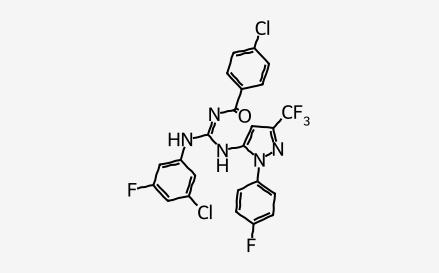 O=C(/N=C(/Nc1cc(F)cc(Cl)c1)Nc1cc(C(F)(F)F)nn1-c1ccc(F)cc1)c1ccc(Cl)cc1